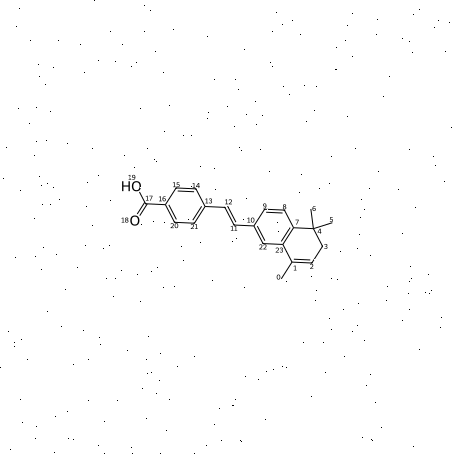 CC1=CCC(C)(C)c2ccc(C=Cc3ccc(C(=O)O)cc3)cc21